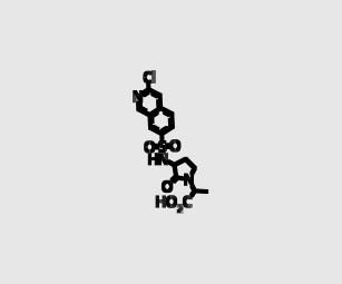 CC(C(=O)O)N1CCC(NS(=O)(=O)c2ccc3cc(Cl)ncc3c2)C1=O